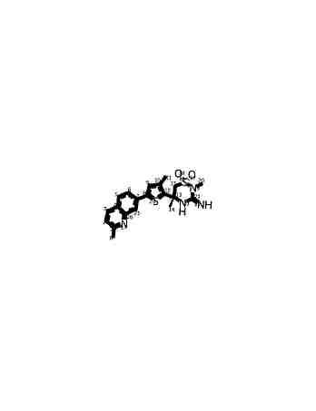 Cc1ccc2ccc(-c3cc(C)c([C@]4(C)CS(=O)(=O)N(C)C(=N)N4)s3)cc2n1